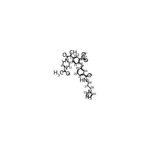 C=C(C(=O)N1CCN(C(C)=O)CC1)c1ccc(Sc2cccc(C(=O)NCCCn3ccnc3)c2)c([N+](=O)[O-])c1